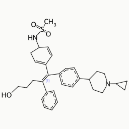 CS(=O)(=O)NC1C=CC(/C(=C(\CCCO)c2ccccc2)c2ccc(C3CCN(C4CC4)CC3)cc2)=CC1